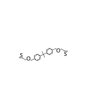 CC(C)(c1ccc(COCC2CS2)cc1)c1ccc(COCC2CS2)cc1